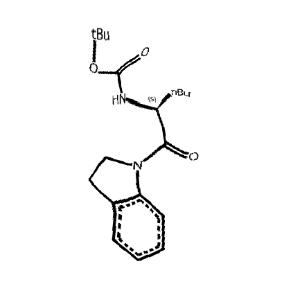 CCCC[C@H](NC(=O)OC(C)(C)C)C(=O)N1CCc2ccccc21